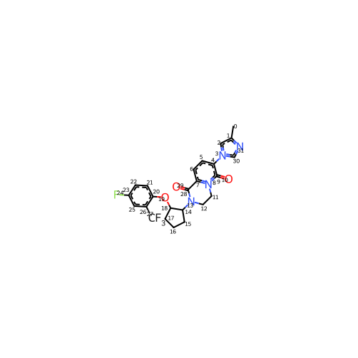 Cc1cn(-c2ccc3n(c2=O)CCN(C2CCCC2Oc2ccc(F)cc2C(F)(F)F)C3=O)cn1